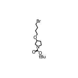 CC(C)(C)OC(=O)N1CCC(OCCCCBr)C1